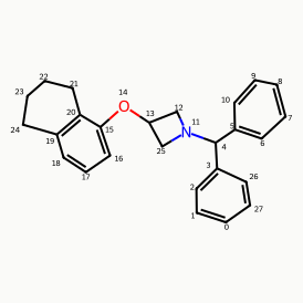 c1ccc(C(c2ccccc2)N2CC(Oc3cccc4c3CCCC4)C2)cc1